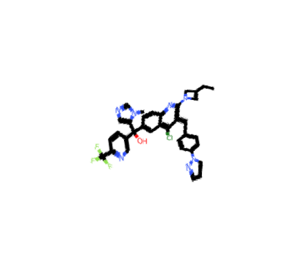 CCC1CN(c2nc3ccc(C(O)(c4ccc(C(F)(F)F)nc4)c4cncn4C)cc3c(Cl)c2Cc2ccc(-n3cccn3)cc2)C1